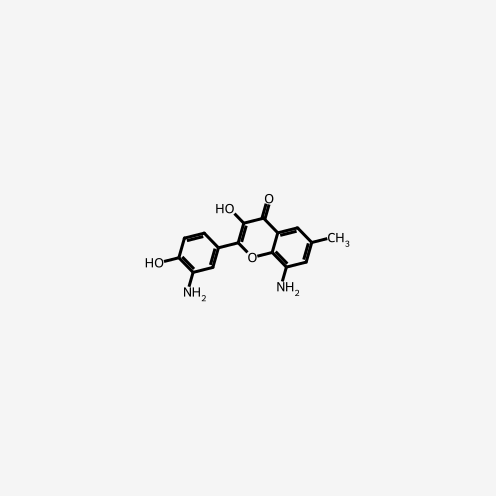 Cc1cc(N)c2oc(-c3ccc(O)c(N)c3)c(O)c(=O)c2c1